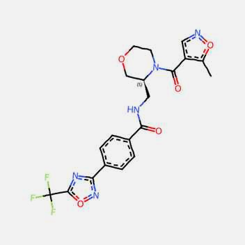 Cc1oncc1C(=O)N1CCOC[C@@H]1CNC(=O)c1ccc(-c2noc(C(F)(F)F)n2)cc1